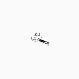 O.[Gd].[O]=[Ce]